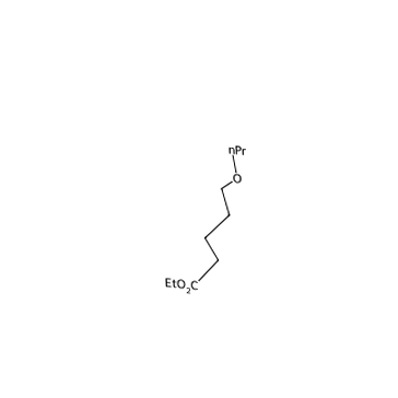 CCCOCCCCC(=O)OCC